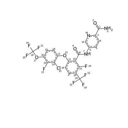 NC(=O)c1ccc(NC(=O)c2c(Oc3ccc(OC(F)(F)F)c(F)c3Cl)ccc(C(F)(F)F)c2F)cn1